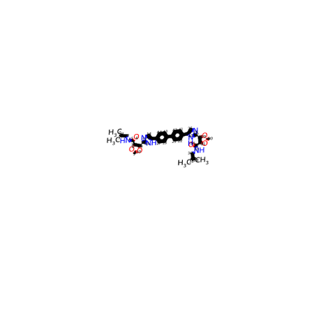 CC(C)CNC(=O)[C@@H]1OCO[C@H]1c1ncc(-c2ccc(-c3ccc(-c4cnc([C@@H]5OCO[C@H]5C(=O)NCC(C)C)[nH]4)cc3)cc2)[nH]1